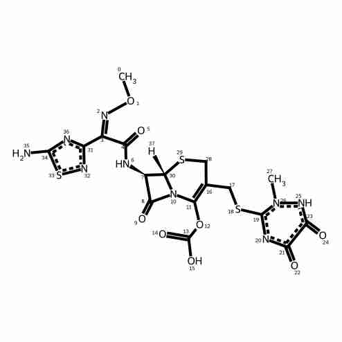 CO/N=C(\C(=O)N[C@@H]1C(=O)N2C(OC(=O)O)=C(CSc3nc(=O)c(=O)[nH]n3C)CS[C@@H]12)c1nsc(N)n1